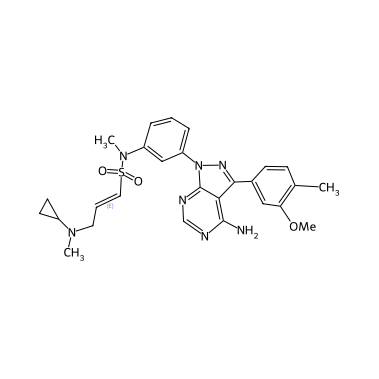 COc1cc(-c2nn(-c3cccc(N(C)S(=O)(=O)/C=C/CN(C)C4CC4)c3)c3ncnc(N)c23)ccc1C